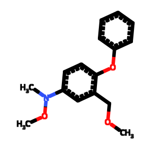 COCc1cc(N(C)OC)ccc1Oc1ccccc1